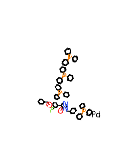 O=c1c(-c2ccc(OCc3ccccc3)c(F)c2)cncn1Cc1ccccc1.[Pd].c1ccc(P(c2ccccc2)c2ccccc2)cc1.c1ccc(P(c2ccccc2)c2ccccc2)cc1.c1ccc(P(c2ccccc2)c2ccccc2)cc1.c1ccc(P(c2ccccc2)c2ccccc2)cc1